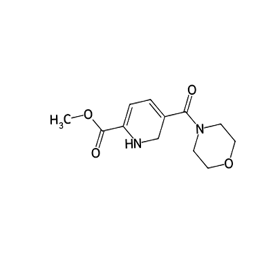 COC(=O)C1=CC=C(C(=O)N2CCOCC2)CN1